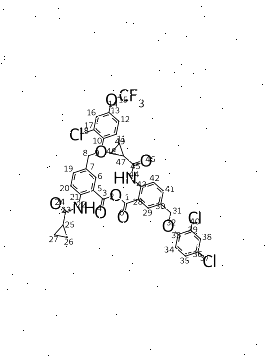 O=C(OC(=O)c1cc(COc2ccc(OC(F)(F)F)cc2Cl)ccc1NC(=O)C1CC1)c1cc(COc2ccc(Cl)cc2Cl)ccc1NC(=O)C1CC1